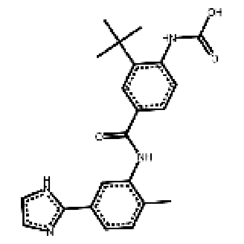 Cc1ccc(-c2ncc[nH]2)cc1NC(=O)c1ccc(NC(=O)O)c(C(C)(C)C)c1